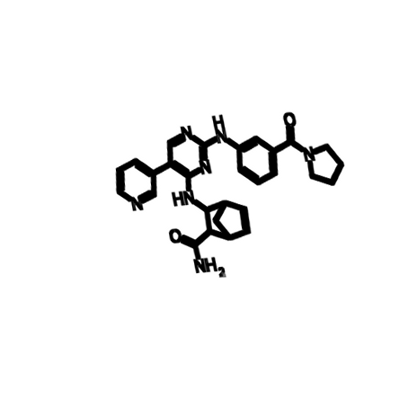 NC(=O)C1C2C=CC(C2)C1Nc1nc(Nc2cccc(C(=O)N3CCCC3)c2)ncc1-c1cccnc1